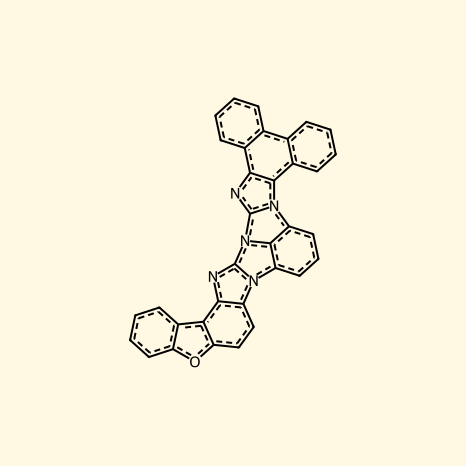 c1ccc2c(c1)oc1ccc3c(nc4n3c3cccc5c3n4c3nc4c6ccccc6c6ccccc6c4n53)c12